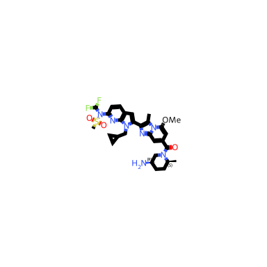 COc1cc(C(=O)N2C[C@H](N)CC[C@@H]2C)cc2nc(-c3cc4ccc(N(C(F)F)S(C)(=O)=O)nc4n3CC3CC3)c(C)n12